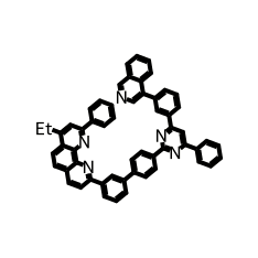 CCc1cc(-c2ccccc2)nc2c1ccc1ccc(-c3cccc(-c4ccc(-c5nc(-c6ccccc6)cc(-c6cccc(-c7cncc8ccccc78)c6)n5)cc4)c3)nc12